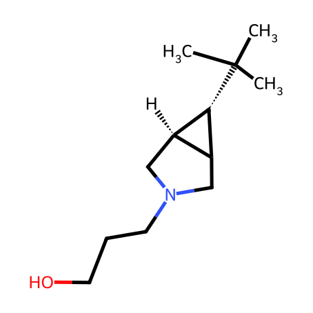 CC(C)(C)[C@@H]1C2CN(CCCO)C[C@H]21